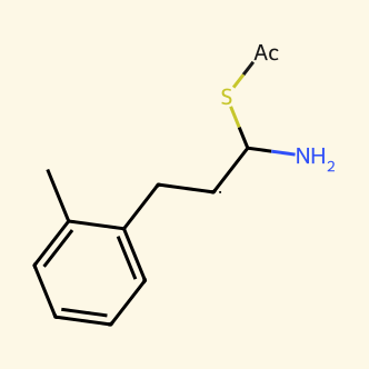 CC(=O)SC(N)[CH]Cc1ccccc1C